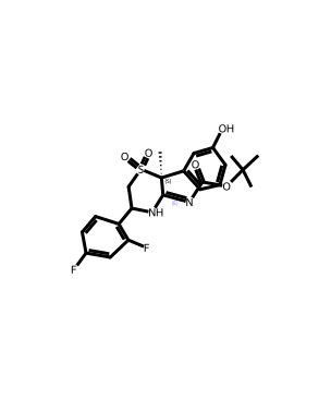 CC(C)(C)OC(=O)/N=C1/NC(c2ccc(F)cc2F)CS(=O)(=O)[C@@]1(C)c1cccc(O)c1